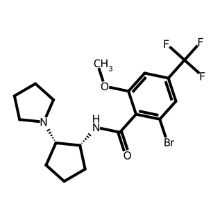 COc1cc(C(F)(F)F)cc(Br)c1C(=O)N[C@@H]1CCC[C@@H]1N1CCCC1